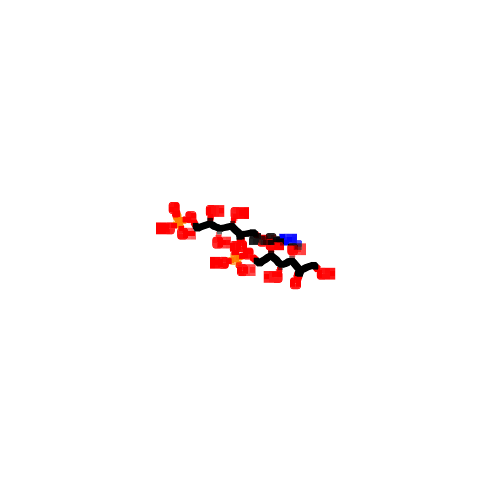 CON.O=C(CO)[C@@H](O)[C@H](O)[C@H](O)COP(=O)(O)O.O=C(CO)[C@@H](O)[C@H](O)[C@H](O)COP(=O)(O)O